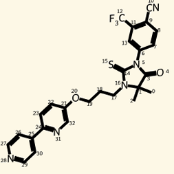 CC1(C)C(=O)N(c2ccc(C#N)c(C(F)(F)F)c2)C(=S)N1CCCOc1ccc(-c2ccncc2)nc1